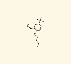 CCCCOC1=C(C=O)CC(C(C)(C)C)C=C1